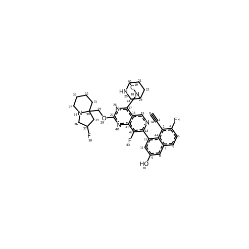 C#Cc1c(F)ccc2cc(O)cc(-c3ncc4c(N5CC6CCC5CN6)nc(OCC56CCCCN5CC(F)C6)nc4c3F)c12